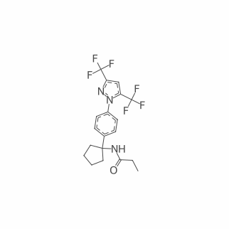 CCC(=O)NC1(c2ccc(-n3nc(C(F)(F)F)cc3C(F)(F)F)cc2)CCCC1